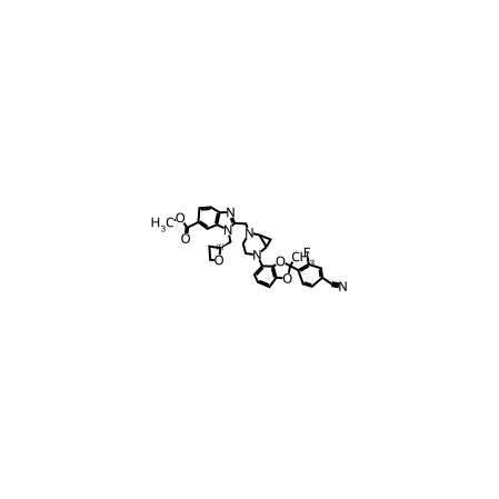 COC(=O)c1ccc2nc(CN3CCN(c4cccc5c4OC(C)(c4ccc(C#N)cc4F)O5)C4CC43)n(C[C@@H]3CCO3)c2c1